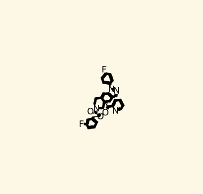 O=C(c1ccccn1)[C@]12Cc3cnn(-c4ccc(F)cc4)c3C=C1CCN(S(=O)(=O)c1cccc(F)c1)C2